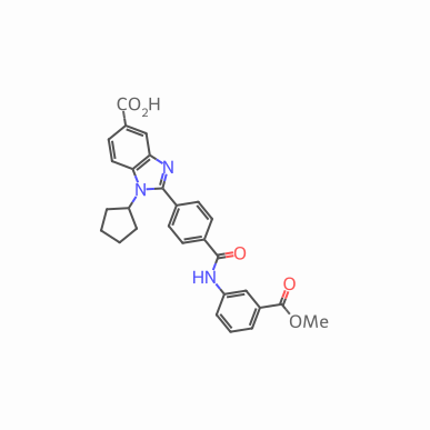 COC(=O)c1cccc(NC(=O)c2ccc(-c3nc4cc(C(=O)O)ccc4n3C3CCCC3)cc2)c1